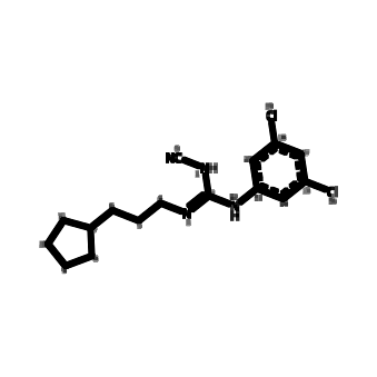 N#CN/C(=N\CCCC1CCCC1)Nc1cc(Cl)cc(Cl)c1